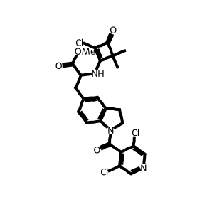 COC(=O)C(Cc1ccc2c(c1)CCN2C(=O)c1c(Cl)cncc1Cl)NC1=C(Cl)C(=O)C1(C)C